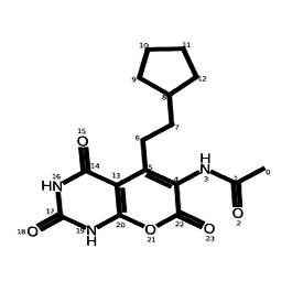 CC(=O)Nc1c(CCC2CCCC2)c2c(=O)[nH]c(=O)[nH]c2oc1=O